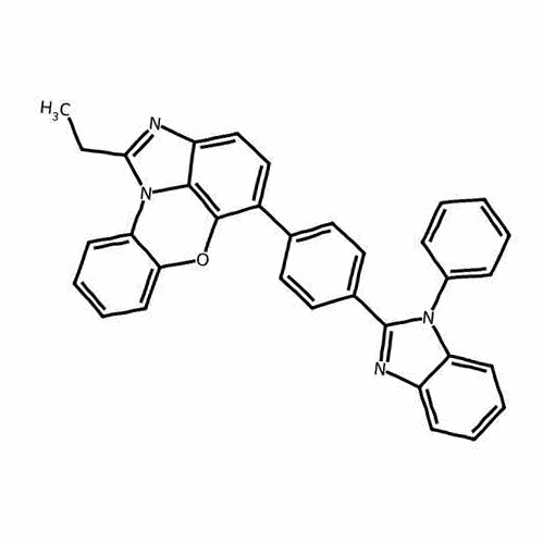 CCc1nc2ccc(-c3ccc(-c4nc5ccccc5n4-c4ccccc4)cc3)c3c2n1-c1ccccc1O3